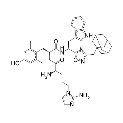 Cc1cc(O)cc(C)c1C[C@H](CC(=O)[C@H](N)CCCn1ccnc1N)C(=O)N[C@@H](Cc1c[nH]c2ccccc12)c1nc(CC23CC4CC(CC(C4)C2)C3)no1